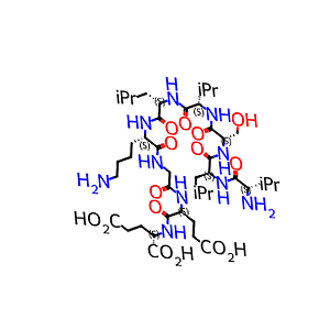 CC(C)C[C@H](NC(=O)[C@@H](N)C(C)C)C(=O)N[C@@H](CO)C(=O)N[C@H](C(=O)N[C@@H](CC(C)C)C(=O)N[C@@H](CCCCN)C(=O)NCC(=O)N[C@@H](CCC(=O)O)C(=O)N[C@@H](CCC(=O)O)C(=O)O)C(C)C